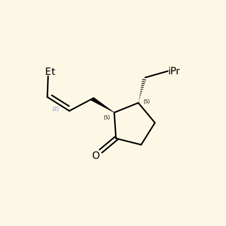 CC/C=C\C[C@@H]1C(=O)CC[C@H]1CC(C)C